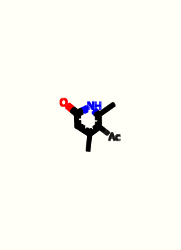 CC(=O)c1c(C)cc(=O)[nH]c1C